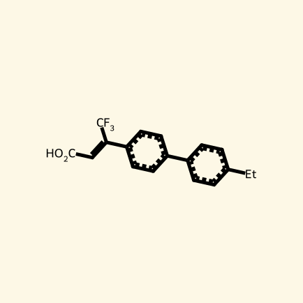 CCc1ccc(-c2ccc(/C(=C/C(=O)O)C(F)(F)F)cc2)cc1